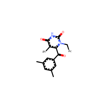 CC(=O)Cn1c(C(=O)c2cc(C)cc(C)c2)c(C(C)C)c(=O)[nH]c1=O